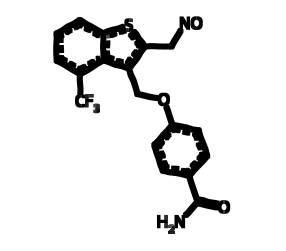 NC(=O)c1ccc(OCc2c(CN=O)sc3cccc(C(F)(F)F)c23)cc1